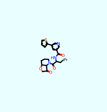 CC(C)CC(NC(=O)c1cncc(-c2cccs2)c1)C(=O)N1CCCC2OCC(=O)C21